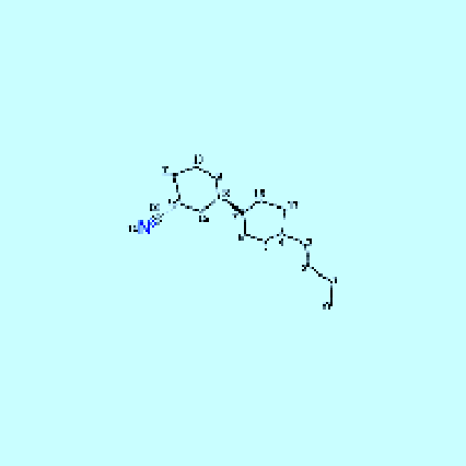 CCCCC1CCC([C@@H]2CCC[C@@H](C#N)C2)CC1